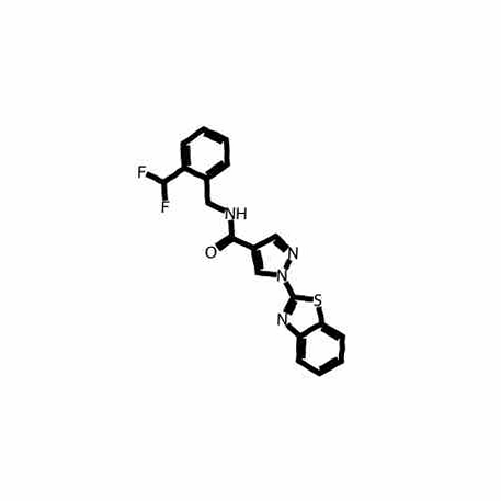 O=C(NCc1ccccc1C(F)F)c1cnn(-c2nc3ccccc3s2)c1